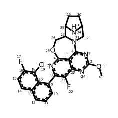 COc1nc2c3c(nc(-c4cccc5ccc(F)c(Cl)c45)c(F)c3n1)OCC1C3CCC(CN21)N3